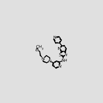 COCCN1CCN(c2ccnc(Nc3nc4ccc(-c5ccncc5)nc4s3)c2)CC1